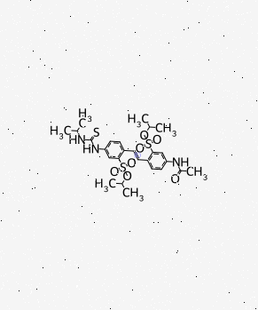 CC(=O)Nc1ccc(/C=C/c2ccc(NC(=S)NC(C)C)cc2S(=O)(=O)OC(C)C)c(S(=O)(=O)OC(C)C)c1